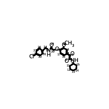 COc1cc(C(=O)C(=O)NC2CCCCC2)ccc1OCC(=O)NCc1ccc(Cl)cc1